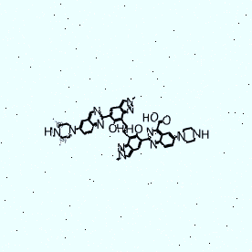 C[C@@H]1CN(c2ccc3nc(-c4cc5cn(C)nc5c(CCc5c(O)c(-c6nc(C(=O)O)c7cc(N8CCNCC8)ccc7n6)cc6cn(C)nc56)c4O)ncc3c2)C[C@H](C)N1